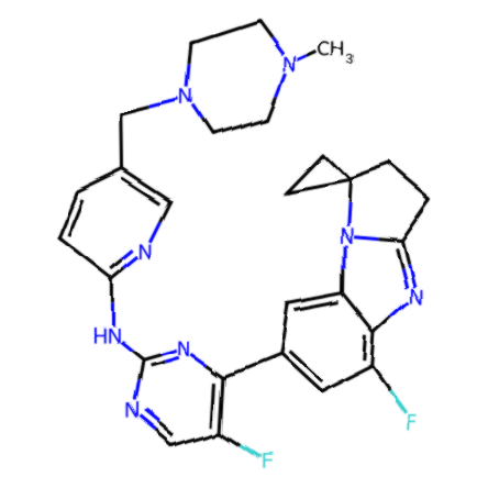 CN1CCN(Cc2ccc(Nc3ncc(F)c(-c4cc(F)c5nc6n(c5c4)C4(CC6)CC4)n3)nc2)CC1